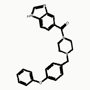 O=C(c1ccc2[nH]cnc2c1)N1CCN(Cc2ccc(Oc3ccccc3)cc2)CC1